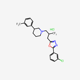 Cl.FC(F)(F)c1cccc(C2CCCN(CC(Cc3nnc(-c4cccc(Cl)c4)o3)C(F)(F)F)C2)c1